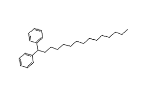 CCCCCCCCCCCCCCC(c1ccccc1)c1ccccc1